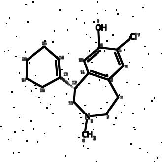 CN1CCc2cc(Cl)c(O)cc2[C@@H](C2=CCCCC2)C1